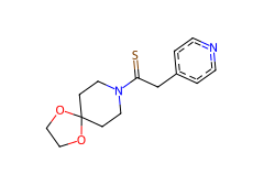 S=C(Cc1ccncc1)N1CCC2(CC1)OCCO2